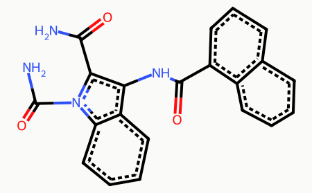 NC(=O)c1c(NC(=O)c2cccc3ccccc23)c2ccccc2n1C(N)=O